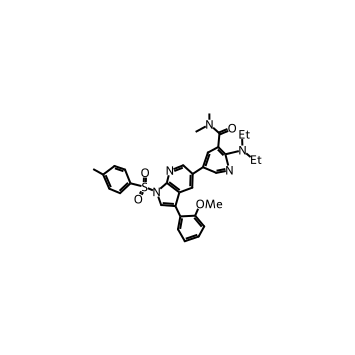 CCN(CC)c1ncc(-c2cnc3c(c2)c(-c2ccccc2OC)cn3S(=O)(=O)c2ccc(C)cc2)cc1C(=O)N(C)C